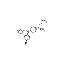 C[C@H](CCN)N1CCC(N(Cc2ccsc2)c2ccc(F)cc2)CC1